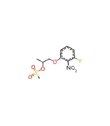 CC(COc1cccc(F)c1[N+](=O)[O-])OS(C)(=O)=O